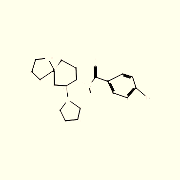 CN(C(=O)c1ccc(Br)cc1)[C@H]1CC[C@]2(CCCO2)C[C@@H]1N1CCCC1